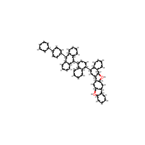 c1ccc(-c2ccc(-c3c4ccccc4c(-c4ccc(-c5cc6c7cc8oc9ccccc9c8cc7oc6c6ccccc56)c5ccccc45)c4ccccc34)cc2)cc1